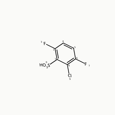 O=S(=O)(O)c1c(F)ccc(F)c1Cl